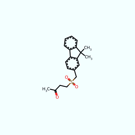 CC(=O)CCS(=O)(=O)Cc1ccc2c(c1)C(C)(C)c1ccccc1-2